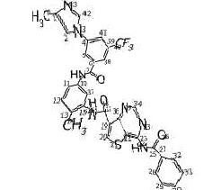 Cc1cn(-c2cc(C(=O)Nc3ccc(C)c(NC(=O)c4csc5c(NC(=O)c6ccccc6)ncnc45)c3)cc(C(F)(F)F)c2)cn1